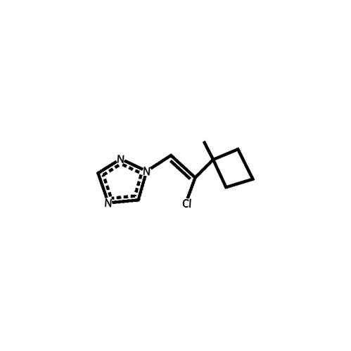 CC1(C(Cl)=Cn2cncn2)CCC1